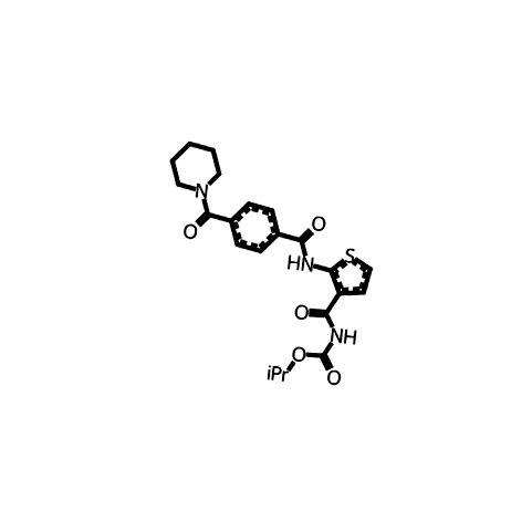 CC(C)OC(=O)NC(=O)c1ccsc1NC(=O)c1ccc(C(=O)N2CCCCC2)cc1